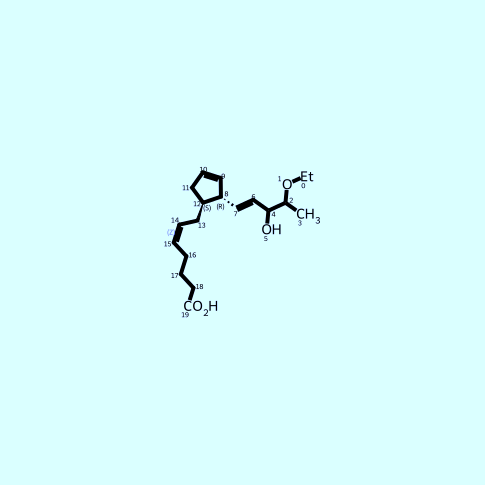 CCOC(C)C(O)C=C[C@H]1C=CC[C@@H]1C/C=C\CCCC(=O)O